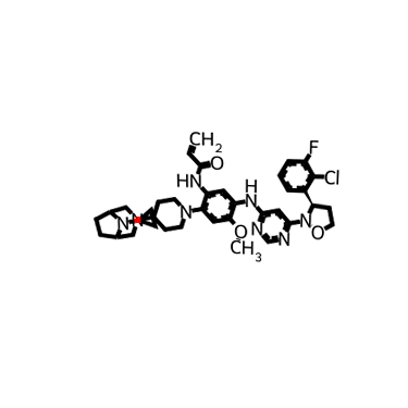 C=CC(=O)Nc1cc(Nc2cc(N3OCC[C@@H]3c3cccc(F)c3Cl)ncn2)c(OC)cc1N1CCC(N2CC3CCC(C2)N3C2CC2)CC1